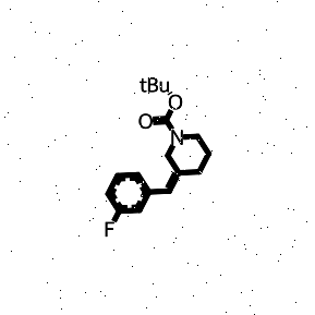 CC(C)(C)OC(=O)N1CCC/C(=C/c2cccc(F)c2)C1